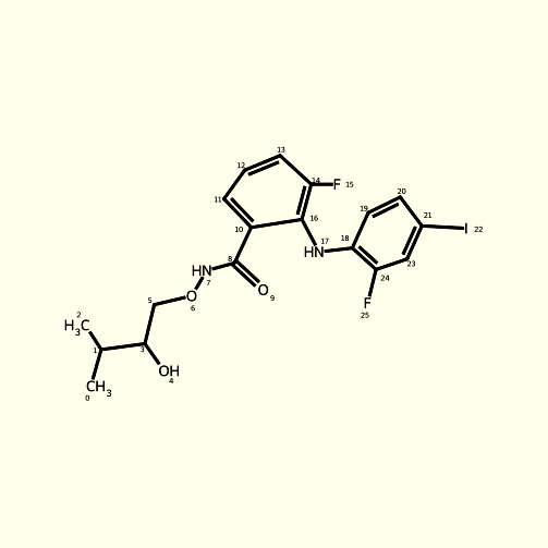 CC(C)C(O)CONC(=O)c1cccc(F)c1Nc1ccc(I)cc1F